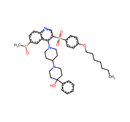 CCCCCCCOc1ccc(S(=O)(=O)c2cnc3ccc([S+](C)[O-])cc3c2N2CCC(N3CCC(O)(c4ccccc4)CC3)CC2)cc1